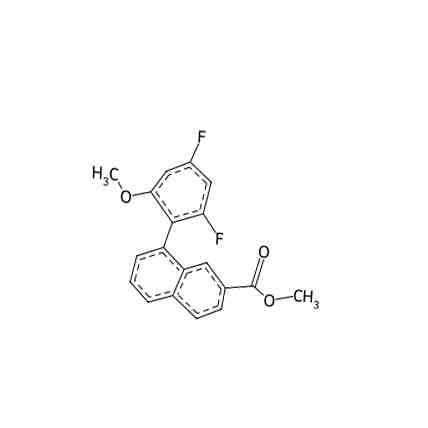 COC(=O)c1ccc2cccc(-c3c(F)cc(F)cc3OC)c2c1